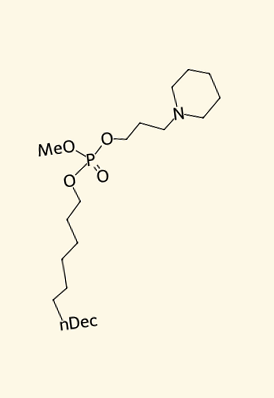 CCCCCCCCCCCCCCCCOP(=O)(OC)OCCCN1CCCCC1